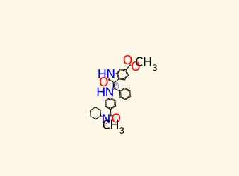 COC(=O)c1ccc2c(c1)NC(=O)/C2=C(\Nc1ccc(C(=O)N(C)C2CCCCC2)cc1)c1ccccc1